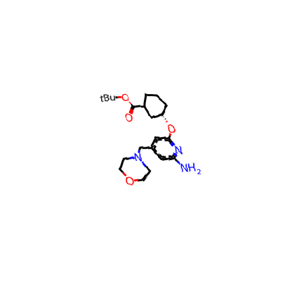 CC(C)(C)OC(=O)C1CCC[C@H](Oc2cc(CN3CCOCC3)cc(N)n2)C1